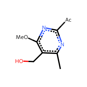 COc1nc(C(C)=O)nc(C)c1CO